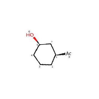 CC(=O)[C@H]1CCC[C@@H](O)C1